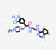 CC(C)N1CCN(C[C@@H](C(=O)NCCNc2ncnc3c2[C@H](C)C[C@H]3F)c2ccc(N)c(Cl)c2)CC1